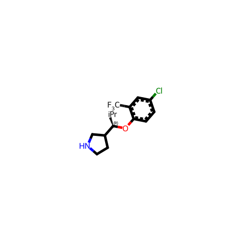 CC(C)[C@@H](Oc1ccc(Cl)cc1C(F)(F)F)C1CCNC1